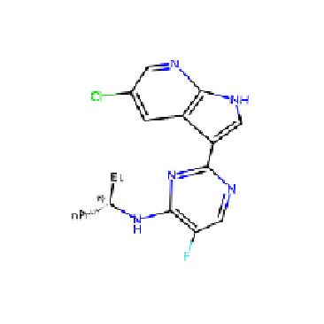 CCC[C@H](CC)Nc1nc(-c2c[nH]c3ncc(Cl)cc23)ncc1F